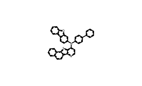 c1ccc(-c2ccc(N(c3ccc4c(c3)oc3ccccc34)c3ccnc4c3sc3c5ccccc5ccc43)cc2)cc1